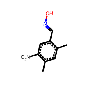 Cc1cc(C)c([N+](=O)[O-])cc1C=NO